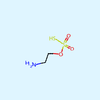 NCCOS(=O)(=O)S